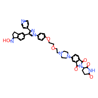 O=C1CCC(N2C(=O)c3ccc(N4CCN(CCOCCOc5ccc(-n6cc(-c7ccc8c(c7)CCC8=NO)c(-c7ccncc7)n6)cc5)CC4)cc3C2=O)C(=O)N1